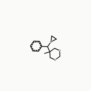 CC1(C(c2ccccc2)N2CC2)COCOC1